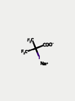 O=C([O-])C(I)(C(F)(F)F)C(F)(F)F.[Na+]